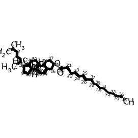 C=C(C)CCCC(C)[C@H]1CC[C@H]2[C@@H]3CC=C4C[C@@H](OC(=O)CCCCCCCCCCCCCCCC)CC[C@]4(C)[C@H]3CC[C@]12C